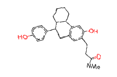 CNC(=O)CCc1cc2c(cc1O)C1CCCCC1C(c1ccc(O)cc1)C2